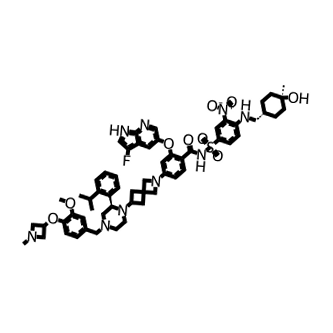 COc1cc(CN2CCN(C3CC4(C3)CN(c3ccc(C(=O)NS(=O)(=O)c5ccc(NC[C@H]6CC[C@](C)(O)CC6)c([N+](=O)[O-])c5)c(Oc5cnc6[nH]cc(F)c6c5)c3)C4)[C@H](c3ccccc3C(C)C)C2)ccc1OC1CN(C)C1